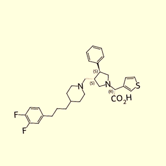 O=C(O)[C@@H](c1ccsc1)N1C[C@H](CN2CCC(CCCc3ccc(F)c(F)c3)CC2)[C@@H](c2ccccc2)C1